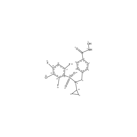 O=C(NO)c1ccc(CN(C2CC2)S(=O)(=O)c2c(F)cc(F)c(Cl)c2F)cc1